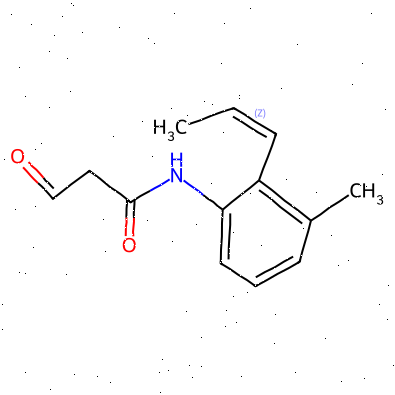 C/C=C\c1c(C)cccc1NC(=O)CC=O